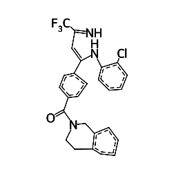 N=C(/C=C(\Nc1ccccc1Cl)c1ccc(C(=O)N2CCc3ccccc3C2)cc1)C(F)(F)F